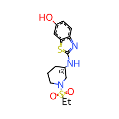 CCS(=O)(=O)N1CCC[C@H](Nc2nc3ccc(O)cc3s2)C1